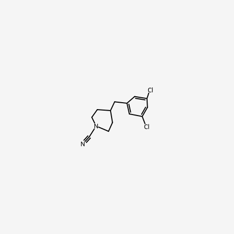 N#CN1CCC(Cc2cc(Cl)cc(Cl)c2)CC1